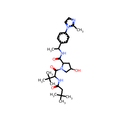 Cc1nccn1-c1ccc(C(C)NC(=O)C2CC(O)CN2C(=O)C(NC(=O)CC(C)(C)C)C(C)(C)C)cc1